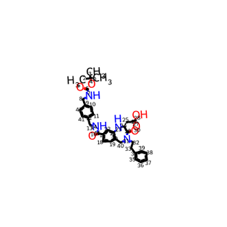 CC(C)(C)OC(=O)NCc1ccc(CNC(=O)c2ccc3c(c2)N[C@H](CC(=O)O)C(=O)N(CCc2ccccc2)C3)cc1